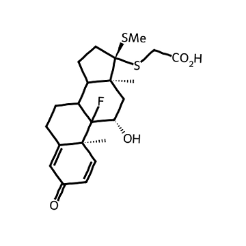 CS[C@]1(SCC(=O)O)CCC2C3CCC4=CC(=O)C=C[C@]4(C)C3(F)[C@@H](O)C[C@@]21C